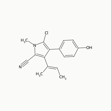 CC=C(C)c1c(-c2ccc(O)cc2)c(Cl)n(C)c1C#N